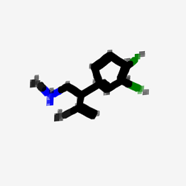 C=C(C(C)C)C(CNC(C)C)c1ccc(F)c(F)c1